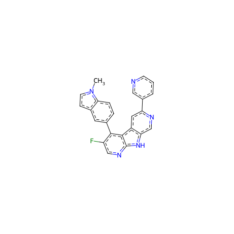 Cn1ccc2cc(-c3c(F)cnc4[nH]c5cnc(-c6cccnc6)cc5c34)ccc21